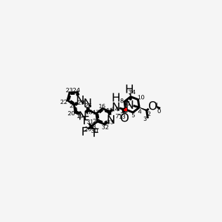 COC(C)[C@]12C[C@H](C)C[C@H](C1)N2C(=O)Nc1cc(-c2ncc3cccn3n2)c(C(F)(F)F)cn1